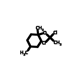 CC1CCC(C)(OC(C)(Cl)Cl)CC1